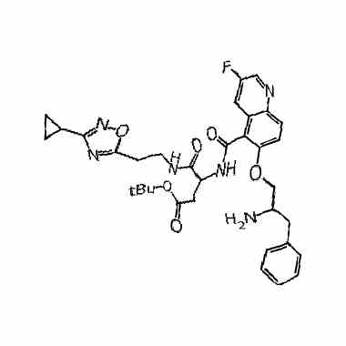 CC(C)(C)OC(=O)CC(NC(=O)c1c(OCC(N)Cc2ccccc2)ccc2ncc(F)cc12)C(=O)NCCc1nc(C2CC2)no1